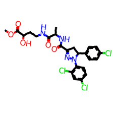 COC(=O)C(O)CCNC(=O)C(C)NC(=O)C1=NN(c2ccc(Cl)cc2Cl)C(c2ccc(Cl)cc2)C1